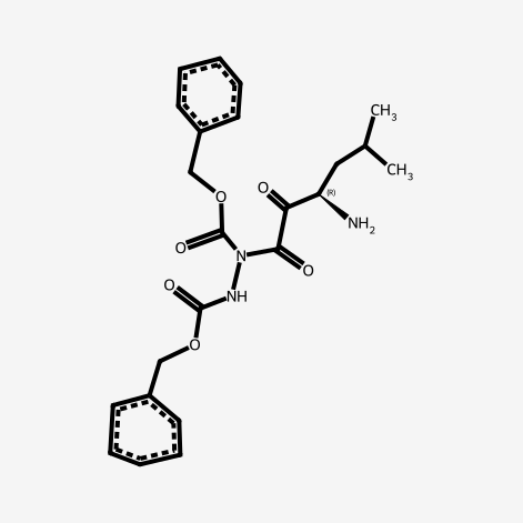 CC(C)C[C@@H](N)C(=O)C(=O)N(NC(=O)OCc1ccccc1)C(=O)OCc1ccccc1